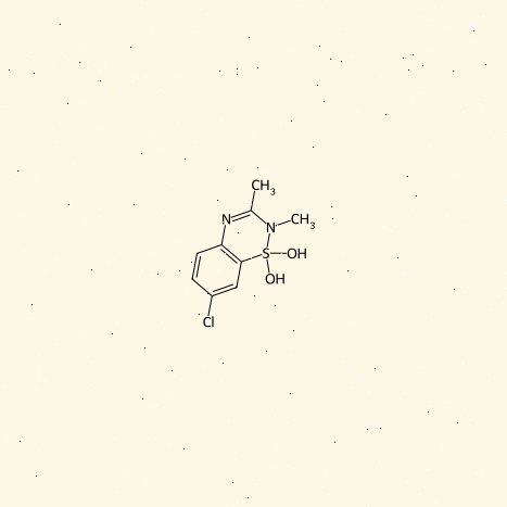 CC1=Nc2ccc(Cl)cc2S(O)(O)N1C